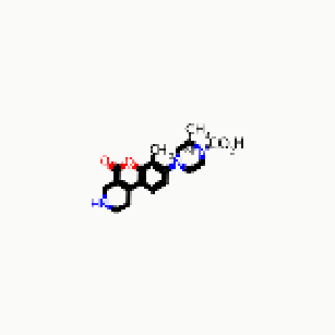 Cc1c(N2CCN(C(=O)O)[C@@H](C)C2)ccc2c3c(c(=O)oc12)CNCC3